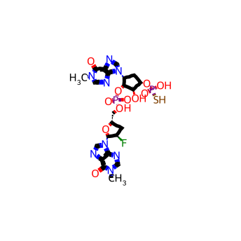 Cn1cnc2c(ncn2[C@@H]2C[C@H](OP(=O)(O)S)[C@@H](O)C2OP(=O)(O)OC[C@@H]2C[C@@H](F)[C@H](n3cnc4c(=O)n(C)cnc43)O2)c1=O